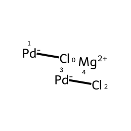 [Cl][Pd-].[Cl][Pd-].[Mg+2]